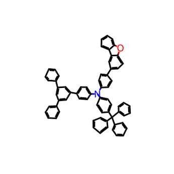 c1ccc(-c2cc(-c3ccccc3)cc(-c3ccc(N(c4ccc(-c5ccc6oc7ccccc7c6c5)cc4)c4ccc(C(c5ccccc5)(c5ccccc5)c5ccccc5)cc4)cc3)c2)cc1